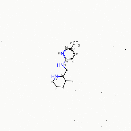 CC1CCCNC1CNc1ccc(C(F)(F)F)cn1